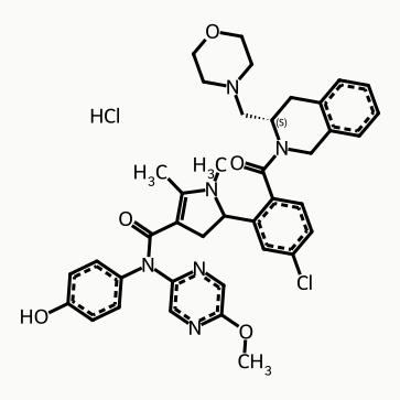 COc1cnc(N(C(=O)C2=C(C)N(C)C(c3cc(Cl)ccc3C(=O)N3Cc4ccccc4C[C@H]3CN3CCOCC3)C2)c2ccc(O)cc2)cn1.Cl